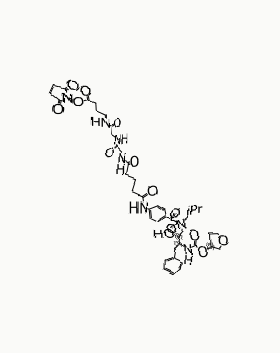 CC(C)CN(C[C@@H](O)[C@H](Cc1ccccc1)NC(=O)O[C@H]1CCOC1)S(=O)(=O)c1ccc(NC(=O)CCCC(=O)NCC(=O)NCC(=O)NCCCC(=O)ON2C(=O)CCC2=O)cc1